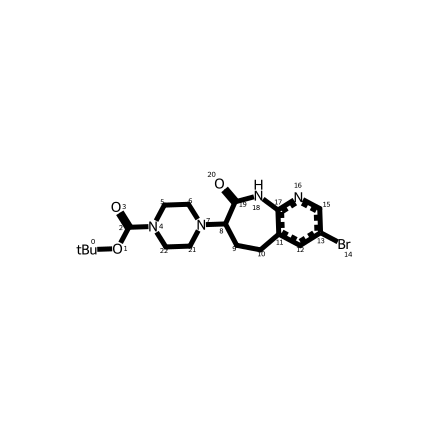 CC(C)(C)OC(=O)N1CCN(C2CCc3cc(Br)cnc3NC2=O)CC1